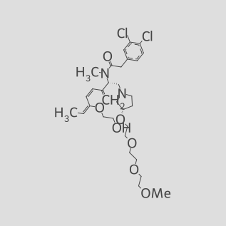 C=C(/C=C\C(=C/C)OCCO)[C@@H](CN1CC[C@H](OCCOCCOCCOC)C1)N(C)C(=O)Cc1ccc(Cl)c(Cl)c1